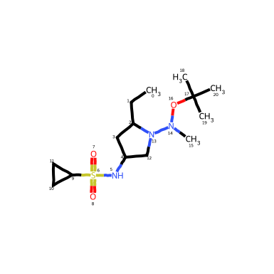 CCC1CC(NS(=O)(=O)C2CC2)CN1N(C)OC(C)(C)C